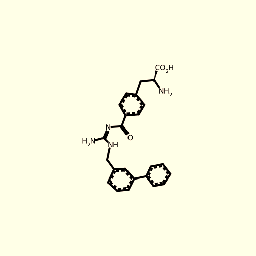 NC(=NC(=O)c1ccc(C[C@H](N)C(=O)O)cc1)NCc1cccc(-c2ccccc2)c1